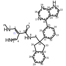 CN/C=C(\C=N)C(=O)NCC1(c2cccc(-c3ncnc4[nH]ccc34)c2)Cc2ccccc2C1